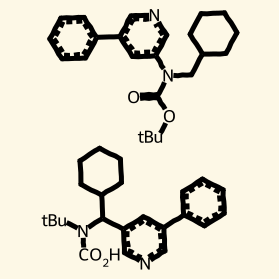 CC(C)(C)N(C(=O)O)C(c1cncc(-c2ccccc2)c1)C1CCCCC1.CC(C)(C)OC(=O)N(CC1CCCCC1)c1cncc(-c2ccccc2)c1